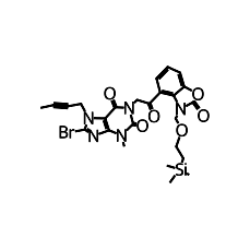 CC#CCn1c(Br)nc2c1c(=O)n(CC(=O)c1cccc3oc(=O)n(COCC[Si](C)(C)C)c13)c(=O)n2C